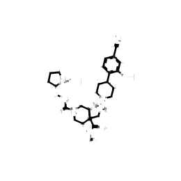 Cc1cc(C#N)ccc1C1CCN(S(=O)(=O)CC2(C(=O)NO)CCN(C(=O)OC[C@@H]3CCCN3C)CC2)CC1